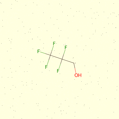 O[CH]C(F)(F)C(F)(F)F